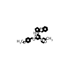 COc1ccc(COc2cc(N3CCOC(C)C3)cc(N3[C@@H]4CC[C@@H](C4)[C@H]3Cc3ccccc3)n2)cc1